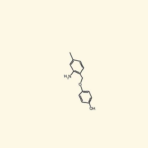 Cc1ccc(COc2ccc(O)cc2)c(N)c1